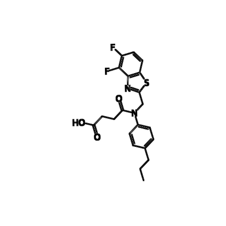 CCCc1ccc(N(Cc2nc3c(F)c(F)ccc3s2)C(=O)CCC(=O)O)cc1